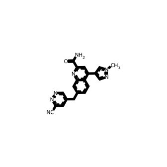 Cn1cc(-c2cc(C(N)=O)nc3cc(Cc4cnnc(C#N)c4)ccc23)cn1